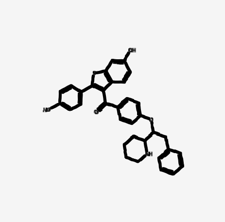 O=C(c1ccc(OC(Cc2ccccc2)C2CCCCN2)cc1)c1c(-c2ccc(O)cc2)sc2cc(O)ccc12